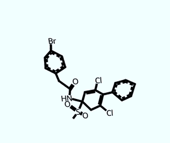 CS(=O)(=O)C1(NC(=O)Cc2ccc(Br)cc2)C=C(Cl)C(c2ccccc2)=C(Cl)C1